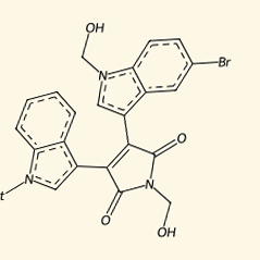 CCn1cc(C2=C(c3cn(CO)c4ccc(Br)cc34)C(=O)N(CO)C2=O)c2ccccc21